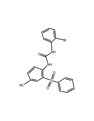 N#Cc1ccc(NC(=O)Nc2ccccc2Br)c(S(=O)(=O)c2ccccc2)c1